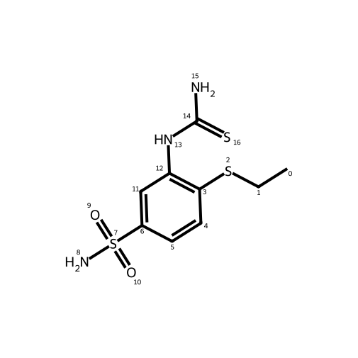 CCSc1ccc(S(N)(=O)=O)cc1NC(N)=S